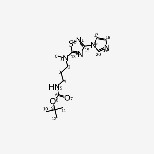 CN(CCCNC(=O)OC(C)(C)C)c1nc(-n2ccnc2)ns1